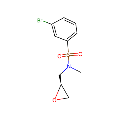 CN(C[C@H]1CO1)S(=O)(=O)c1cccc(Br)c1